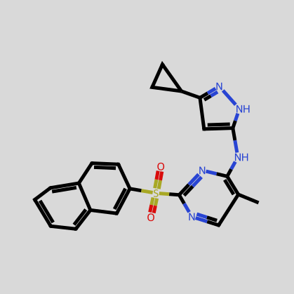 Cc1cnc(S(=O)(=O)c2ccc3ccccc3c2)nc1Nc1cc(C2CC2)n[nH]1